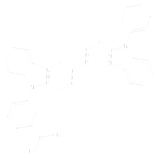 OB(O)c1cccc(N2C3=C(CC(c4ccc5c(c4)c4ccccc4n5C4=CC=CCC4)C=C3)C3=CC=CCC32)c1